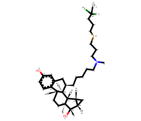 CN(CCCCC[C@@H]1Cc2cc(O)ccc2[C@H]2CC[C@@]3(C)[C@@H]([C@@H]4C[C@@H]4[C@]3(C)O)[C@H]12)CCCSCCCC(F)(F)C(F)(F)F